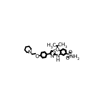 CC(C)Oc1ccc(S(N)(=O)=O)cc1Nc1nc(-c2ccc(OCCN3CCCCC3)cc2)cs1